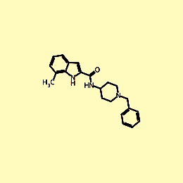 Cc1cccc2cc(C(=O)NC3CCN(Cc4ccccc4)CC3)[nH]c12